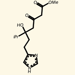 COC(=O)CC(=O)CC(O)(CCc1c[nH]cn1)C(C)C